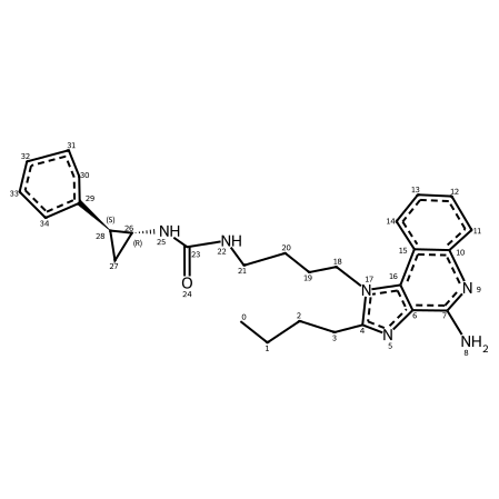 CCCCc1nc2c(N)nc3ccccc3c2n1CCCCNC(=O)N[C@@H]1C[C@H]1c1ccccc1